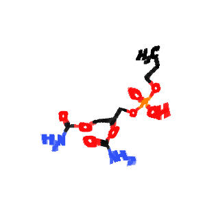 CCCOP(=O)(O)OCC(COC(N)=O)OC(N)=O